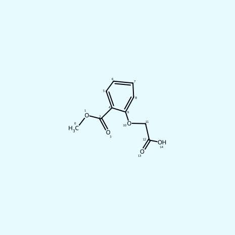 COC(=O)c1ccccc1OCC(=O)O